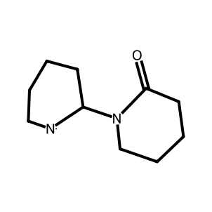 O=C1CCCCN1C1CCCC[N]1